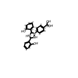 Oc1ccccc1C1NC(c2ccccc2O)N(c2ccc(C(O)O)cc2)N1